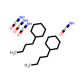 CCCCC1CCCCC1.CCCCC1CCCCC1.N=C=O.N=C=O.N=C=O.N=C=O